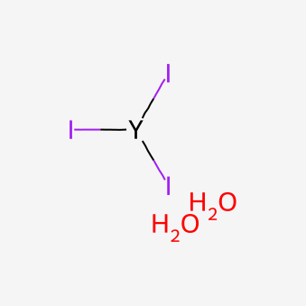 O.O.[I][Y]([I])[I]